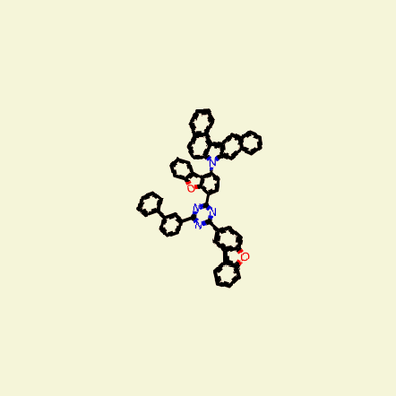 c1ccc(-c2cccc(-c3nc(-c4ccc5oc6ccccc6c5c4)nc(-c4ccc(-n5c6cc7ccccc7cc6c6c7ccccc7ccc65)c5c4oc4ccccc45)n3)c2)cc1